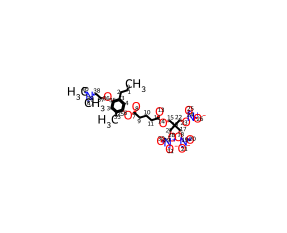 CCCc1cc(OC(=O)CCCC(=O)OCC(CO[N+](=O)[O-])(CO[N+](=O)[O-])CO[N+](=O)[O-])c(C)cc1OCCN(C)C